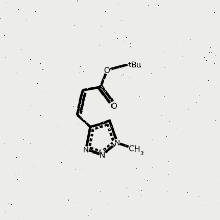 Cn1cc(/C=C\C(=O)OC(C)(C)C)nn1